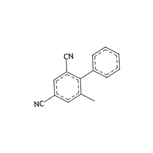 Cc1cc(C#N)cc(C#N)c1-c1ccccc1